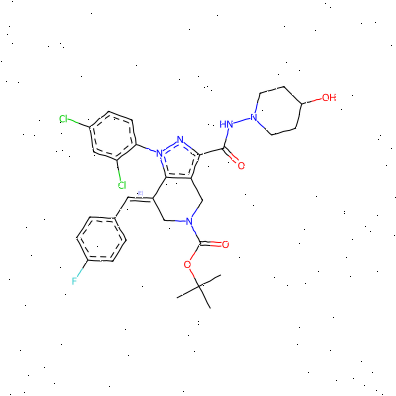 CC(C)(C)OC(=O)N1C/C(=C\c2ccc(F)cc2)c2c(c(C(=O)NN3CCC(O)CC3)nn2-c2ccc(Cl)cc2Cl)C1